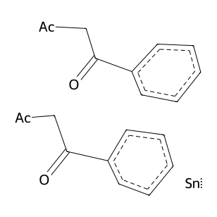 CC(=O)CC(=O)c1ccccc1.CC(=O)CC(=O)c1ccccc1.[Sn]